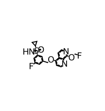 N=[S@@](=O)(c1cc(F)cc(COc2ccnc3c(OCF)nccc23)c1)C1CC1